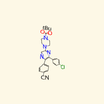 CC(C)(C)OC(=O)N1CCN(c2cnc(-c3ccc(C#N)cc3)c(-c3ccc(Cl)cc3)n2)CC1